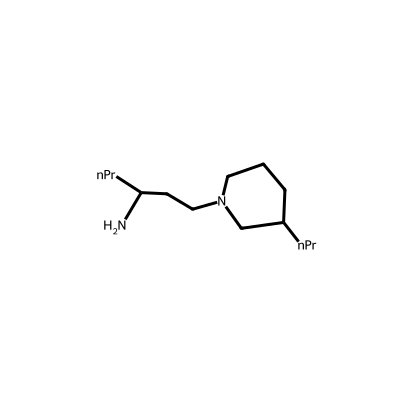 CCCC(N)CCN1CCCC(CCC)C1